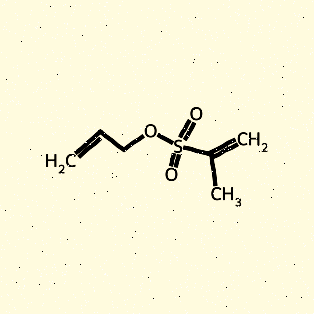 C=CCOS(=O)(=O)C(=C)C